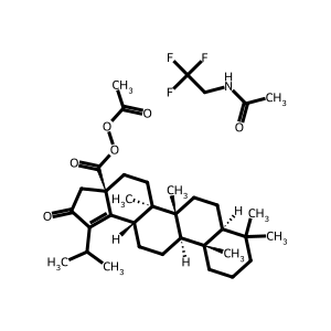 CC(=O)NCC(F)(F)F.CC(=O)OOC(=O)[C@@]12CC[C@]3(C)[C@H](CC[C@@H]4[C@@]5(C)CCCC(C)(C)[C@@H]5CC[C@]43C)C1=C(C(C)C)C(=O)C2